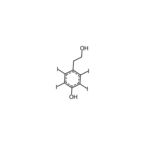 OCCc1c(I)c(I)c(O)c(I)c1I